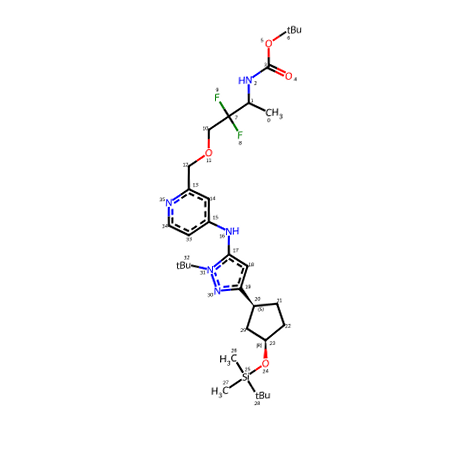 CC(NC(=O)OC(C)(C)C)C(F)(F)COCc1cc(Nc2cc([C@H]3CC[C@@H](O[Si](C)(C)C(C)(C)C)C3)nn2C(C)(C)C)ccn1